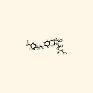 CCCC(C)OC(=O)N1C(=O)SC(Cc2ccc(OCCc3ccc(CC)cn3)cc2)C1=O